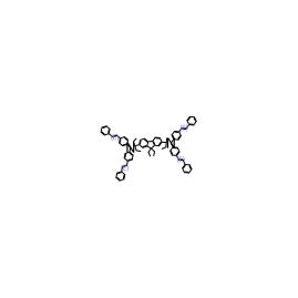 CCC1(CC)c2cc(C(C)(CC)N(c3ccc(/C=C/c4ccccc4)cc3)c3ccc(/C=C/c4ccccc4)cc3)ccc2-c2ccc(C(CC)(CC)N(c3ccc(/C=C/c4ccccc4)cc3)c3ccc(/C=C/c4ccccc4)cc3)cc21